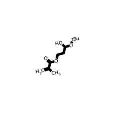 C=C(C)C(=O)OCCC(O)OC(C)(C)C